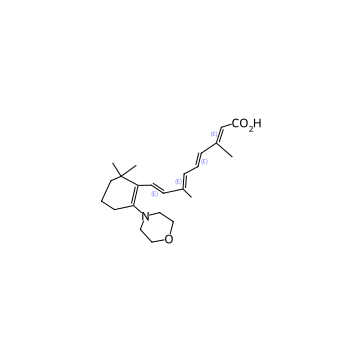 CC(/C=C/C1=C(N2CCOCC2)CCCC1(C)C)=C\C=C\C(C)=C\C(=O)O